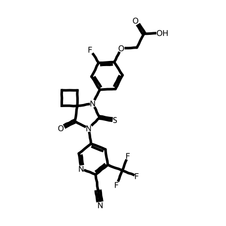 N#Cc1ncc(N2C(=O)C3(CCC3)N(c3ccc(OCC(=O)O)c(F)c3)C2=S)cc1C(F)(F)F